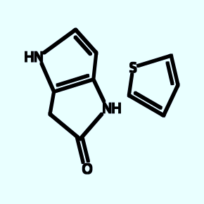 O=C1Cc2[nH]ccc2N1.c1ccsc1